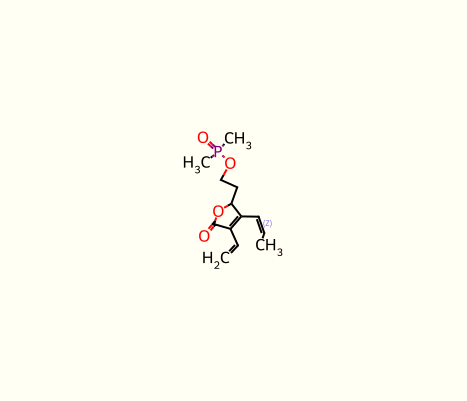 C=CC1=C(/C=C\C)C(CCOP(C)(C)=O)OC1=O